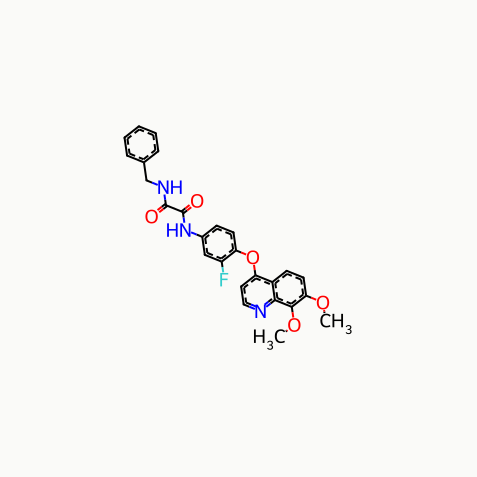 COc1ccc2c(Oc3ccc(NC(=O)C(=O)NCc4ccccc4)cc3F)ccnc2c1OC